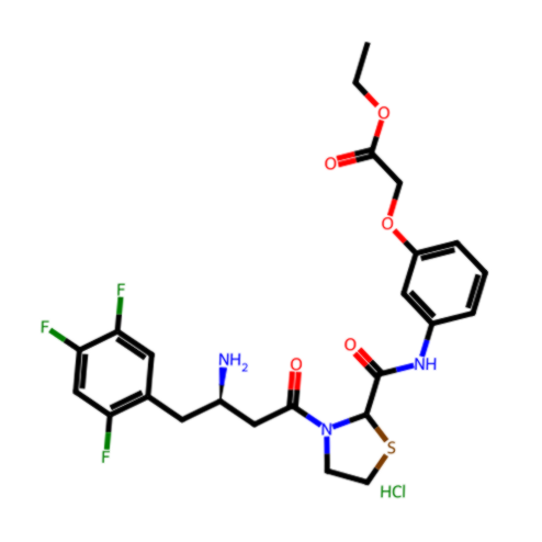 CCOC(=O)COc1cccc(NC(=O)C2SCCN2C(=O)C[C@H](N)Cc2cc(F)c(F)cc2F)c1.Cl